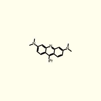 CC(C)c1c2ccc(N(C)C)cc2nc2cc(N(C)C)ccc12